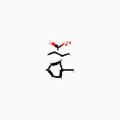 CCCC.Cc1ccccc1.O=CO